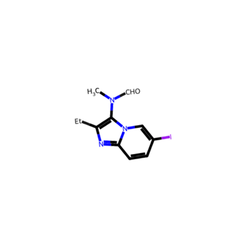 CCc1nc2ccc(I)cn2c1N(C)C=O